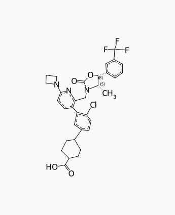 C[C@H]1[C@@H](c2cccc(C(F)(F)F)c2)OC(=O)N1Cc1nc(N2CCC2)ccc1-c1cc(C2CCC(C(=O)O)CC2)ccc1Cl